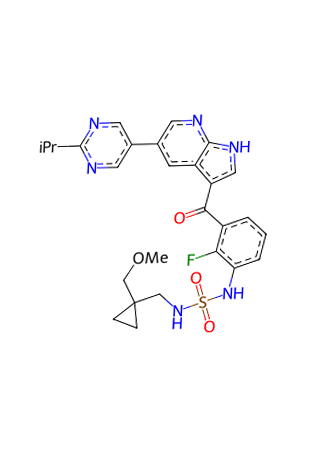 COCC1(CNS(=O)(=O)Nc2cccc(C(=O)c3c[nH]c4ncc(-c5cnc(C(C)C)nc5)cc34)c2F)CC1